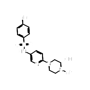 CCCN1CCN(c2ccc(NS(=O)(=O)c3ccc(C(C)C)cc3)cn2)C[C@@H]1C